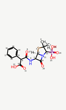 CC1(C)S[C@@H]2C(NC(=O)C(C(=O)O)c3ccccc3)C(=O)N2C1P(=O)(O)O